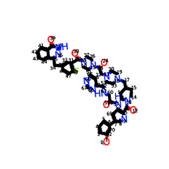 COc1cccc(-c2cnc(C(=O)N3CCC(CN4CCN(CC(=O)N5CCN(C(=O)c6cc(Cc7n[nH]c(=O)c8ccccc78)ccc6F)CC5)CC4)CC3)c(NC(=O)CNCc3ccncn3)c2)c1